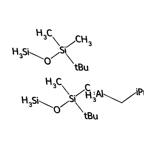 CC(C)(C)[Si](C)(C)O[SiH3].CC(C)(C)[Si](C)(C)O[SiH3].CC(C)[CH2][Al]